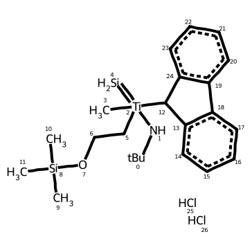 CC(C)(C)[NH][Ti]([CH3])(=[SiH2])([CH2]CO[Si](C)(C)C)[CH]1c2ccccc2-c2ccccc21.Cl.Cl